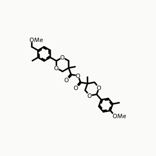 COCc1ccc(C2OCC(C)(C(=O)OC(=O)C3(C)COC(c4ccc(OC)c(C)c4)OC3)CO2)cc1C